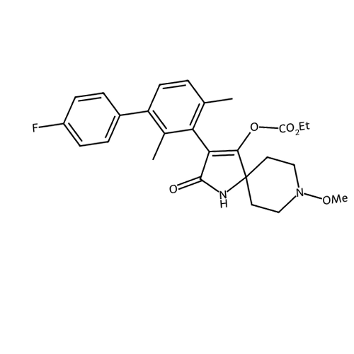 CCOC(=O)OC1=C(c2c(C)ccc(-c3ccc(F)cc3)c2C)C(=O)NC12CCN(OC)CC2